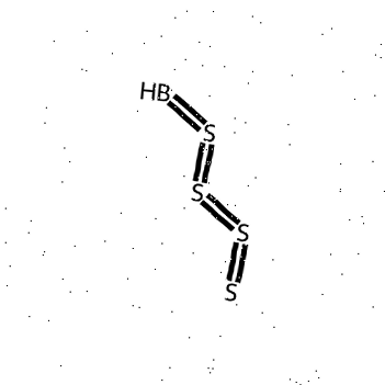 B=S=S=S=S